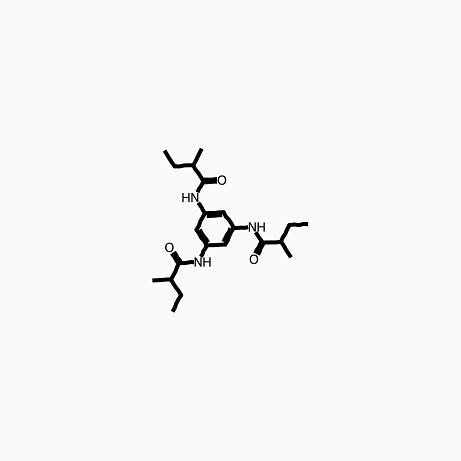 CCC(C)C(=O)Nc1cc(NC(=O)C(C)CC)cc(NC(=O)C(C)CC)c1